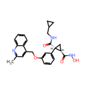 Cc1cc(COc2cccc([C@@]3(C(=O)NCC4CC4)C[C@H]3C(=O)NO)c2)c2ccccc2n1